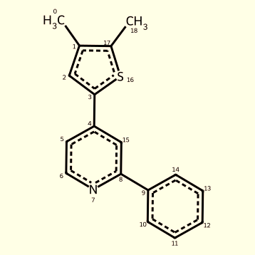 Cc1cc(-c2ccnc(-c3ccccc3)c2)sc1C